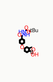 CC(C)(C)OC(=O)NNC(=O)c1ccc(Oc2ccc3c(c2)COB3O)cc1